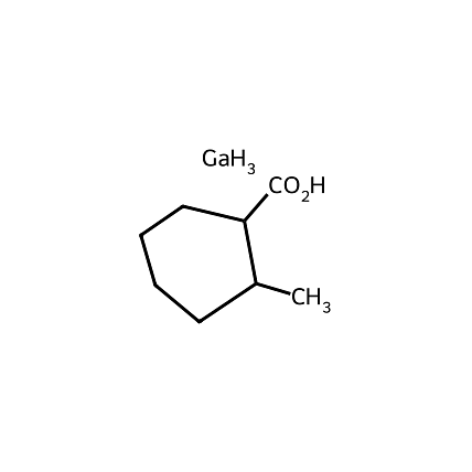 CC1CCCCC1C(=O)O.[GaH3]